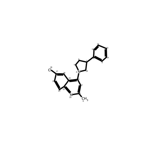 Cc1cc(N2CCC(c3ccccc3)C2)c2cc(Cl)ccc2n1